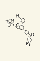 CC(C)(C)OC(=O)NCc1cc2cc(-c3ccc(C(=O)N4CCC(F)(F)CC4)cc3)cc(-c3cccc(C#N)c3)c2o1